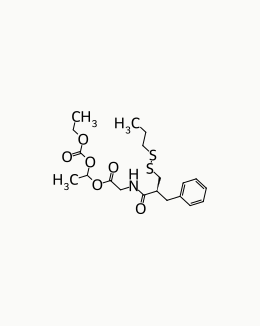 CCCSSC[C@@H](Cc1ccccc1)C(=O)NCC(=O)OC(C)OC(=O)OCC